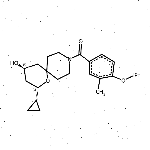 Cc1cc(C(=O)N2CCC3(CC2)C[C@H](O)C[C@@H](C2CC2)O3)ccc1OC(C)C